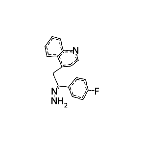 N/N=C(/Cc1ccnc2ccccc12)c1ccc(F)cc1